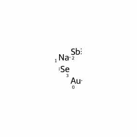 [Au].[Na].[Sb].[Se]